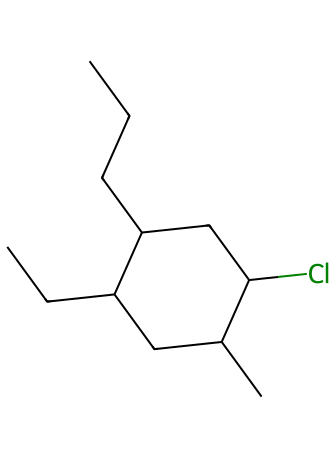 CCCC1CC(Cl)C(C)CC1CC